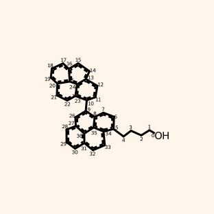 OCCCCc1ccc2c(-c3ccc4ccc5cccc6ccc3c4c56)cc3cccc4ccc1c2c43